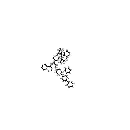 CCC1C(c2ccccc2)=NC(c2ccc3c(c2)C2(c4ccccc4Sc4ccccc42)c2ccccc2-3)=CC1c1ccc(-c2ccc(-c3ccccc3)nc2-c2ccccc2)cc1